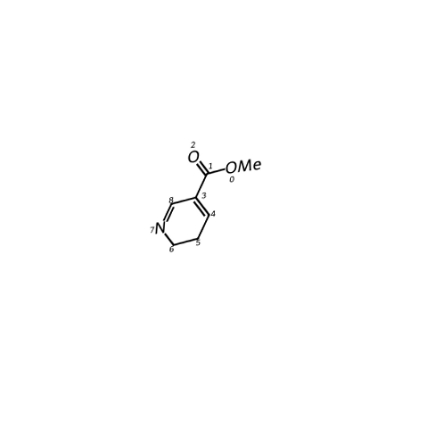 COC(=O)C1=CCCN=C1